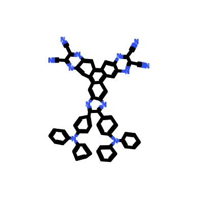 N#Cc1nc2cc3c4cc5nc(C#N)c(C#N)nc5cc4c4cc5nc(-c6ccc(N(c7ccccc7)c7ccccc7)cc6)c(-c6ccc(N(c7ccccc7)c7ccccc7)cc6)nc5cc4c3cc2nc1C#N